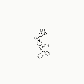 CN1CC(C(=O)N2CCC3(CC2)C[C@@H](C2c4ccccc4-c4cncn42)[C@H]3O)CC1=O